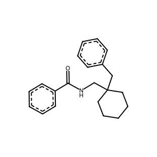 O=C(NCC1(Cc2ccccc2)CCCCC1)c1ccccc1